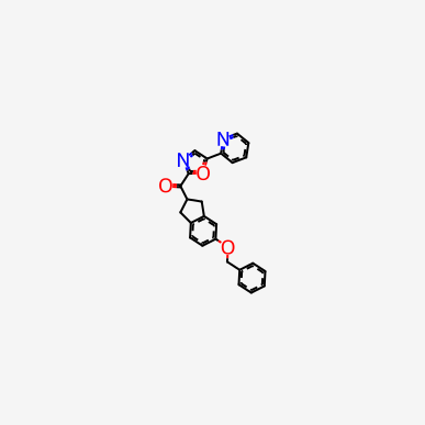 O=C(c1ncc(-c2ccccn2)o1)C1Cc2ccc(OCc3ccccc3)cc2C1